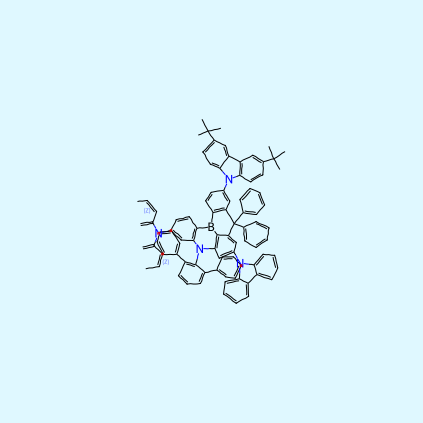 C=C(/C=C\C)N(C(=C)/C=C\C)c1ccc2c(c1)N(c1c(-c3ccccc3)cccc1-c1ccccc1)c1cc(-n3c4ccccc4c4ccccc43)cc3c1B2c1ccc(-n2c4ccc(C(C)(C)C)cc4c4cc(C(C)(C)C)ccc42)cc1C3(c1ccccc1)c1ccccc1